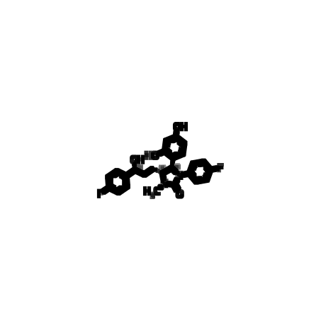 CN1C(=O)N(c2ccc(F)cc2)[C@H](c2ccc(O)cc2O)[C@H]1CC[C@H](O)c1ccc(F)cc1